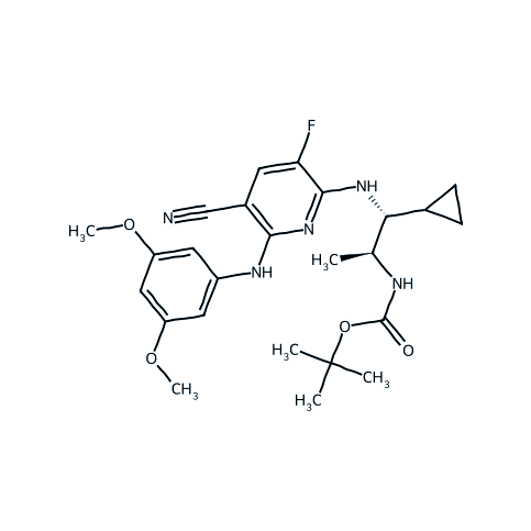 COc1cc(Nc2nc(N[C@H](C3CC3)[C@H](C)NC(=O)OC(C)(C)C)c(F)cc2C#N)cc(OC)c1